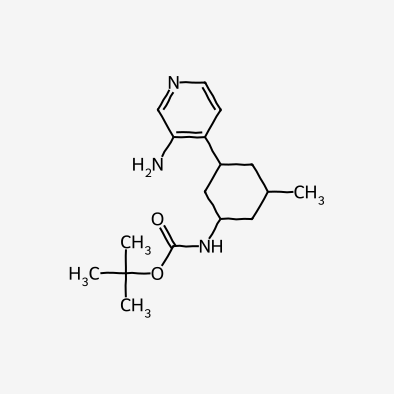 CC1CC(NC(=O)OC(C)(C)C)CC(c2ccncc2N)C1